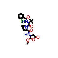 CCOC1OC(=O)CC1NC(=O)C1C=C2CC2N1C(=O)C(NC(=O)c1ccccc1Cl)C(C)(C)C